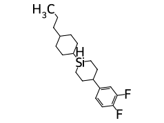 CCCC1CCC([SiH]2CCC(c3ccc(F)c(F)c3)CC2)CC1